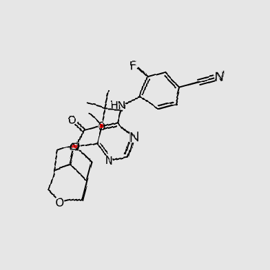 Cc1c(Nc2ccc(C#N)cc2F)ncnc1OC1C2COCC1CN(C(=O)OC(C)(C)C)C2